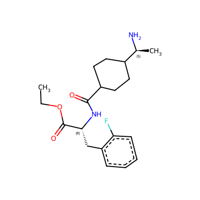 CCOC(=O)[C@@H](Cc1ccccc1F)NC(=O)C1CCC([C@H](C)N)CC1